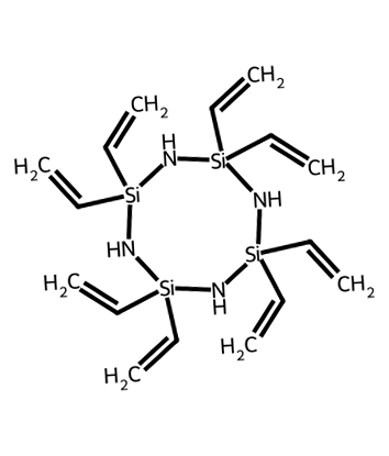 C=C[Si]1(C=C)N[Si](C=C)(C=C)N[Si](C=C)(C=C)N[Si](C=C)(C=C)N1